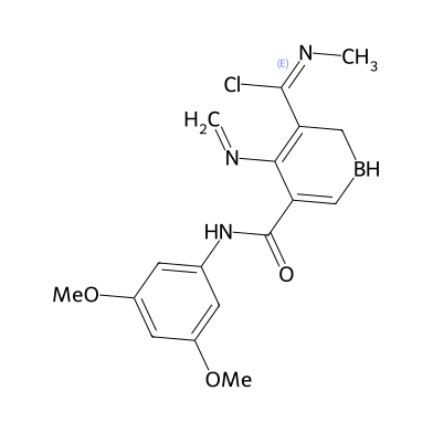 C=NC1=C(/C(Cl)=N\C)CBC=C1C(=O)Nc1cc(OC)cc(OC)c1